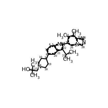 Cc1c(-c2[nH]c3ccc(C4CCN(CC(C)(C)O)CC4)cc3c2C(C)C)cn2cnnc2c1C